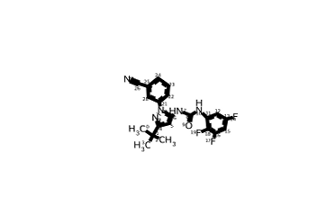 CC(C)(C)c1cc(NC(=O)Nc2cc(F)cc(F)c2F)n(-c2cccc(C#N)c2)n1